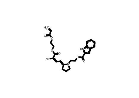 C=CC(=O)OCCOC(=O)/C(C#N)=C\C=C1/CCCN1CCOC(=O)c1cc2ccccc2[nH]1